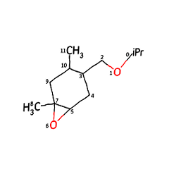 CC(C)OCC1CC2OC2(C)CC1C